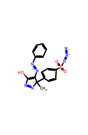 CC1(c2ccc(S(=O)(=O)N=[N+]=[N-])cc2)N=NC(O)=C1/N=N/c1ccccc1